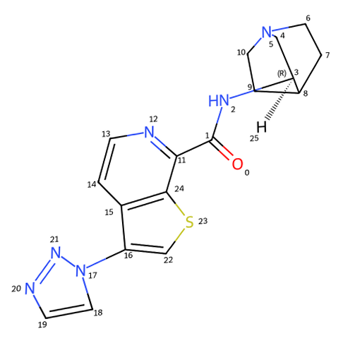 O=C(N[C@H]1CN2CCC1CC2)c1nccc2c(-n3ccnn3)csc12